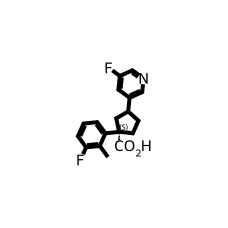 Cc1c(F)cccc1[C@]1(C(=O)O)CCC(c2cncc(F)c2)C1